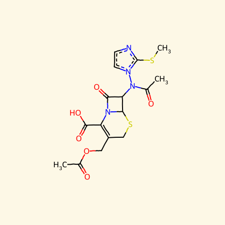 CSc1nccn1N(C(C)=O)C1C(=O)N2C(C(=O)O)=C(COC(C)=O)CSC12